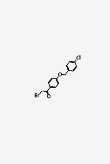 O=C(CBr)c1ccc(OCc2ccc(Cl)cc2)cc1